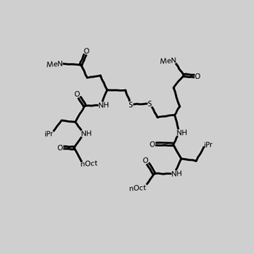 CCCCCCCCC(=O)NC(CC(C)C)C(=O)NC(CCC(=O)NC)CSSCC(CCC(=O)NC)NC(=O)C(CC(C)C)NC(=O)CCCCCCCC